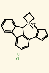 C[Si]1(C2c3ccccc3-c3cccc(C4=[C]([Zr+2])CC=C4)c32)CCC1.[Cl-].[Cl-]